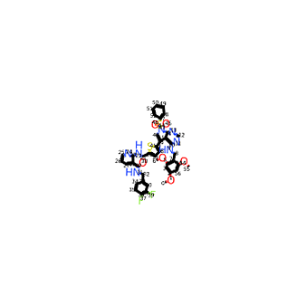 COc1cc(OC)c(CNc2ncnc3c2c(-c2ccc(CNc4ncccc4C(=O)NCc4ccc(F)c(F)c4)s2)cn3S(=O)(=O)c2ccccc2)c(OC)c1